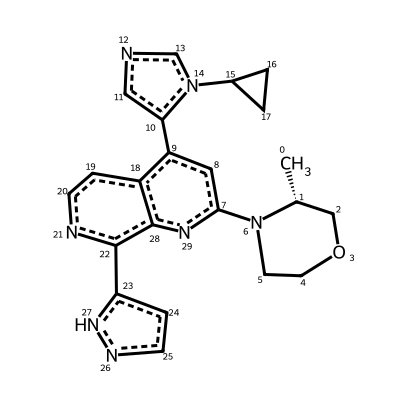 C[C@@H]1COCCN1c1cc(-c2cncn2C2CC2)c2ccnc(-c3ccn[nH]3)c2n1